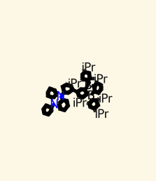 CC(C)c1cc(C(C)C)c(B2c3ccccc3B(c3c(C(C)C)cc(C(C)C)cc3C(C)C)c3cc(-c4cccc(N5c6ccccc6N(c6ccccc6)c6ccccc65)c4)ccc32)c(C(C)C)c1